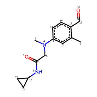 Cc1cc(N(C)CC(=O)NC2CC2)ccc1C=O